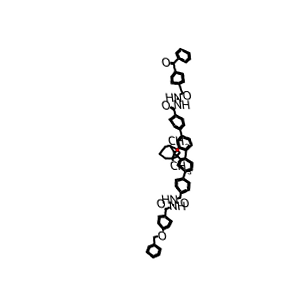 CC12CCCC(C)(CCC1)C21c2cc(-c3ccc(C(=O)NNC(=O)c4ccc(OCc5ccccc5)cc4)cc3)ccc2-c2ccc(-c3ccc(C(=O)NNC(=O)c4ccc(C(=O)c5ccccc5)cc4)cc3)cc21